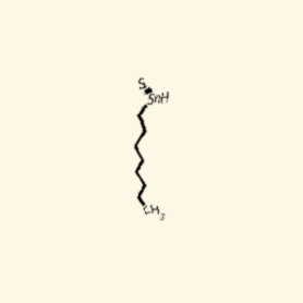 CCCCCCC[CH2][SnH]=[S]